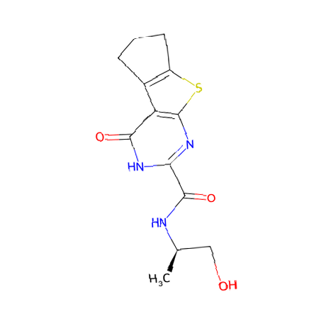 C[C@H](CO)NC(=O)c1nc2sc3c(c2c(=O)[nH]1)CCC3